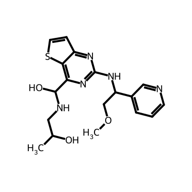 COCC(Nc1nc(C(O)NCC(C)O)c2sccc2n1)c1cccnc1